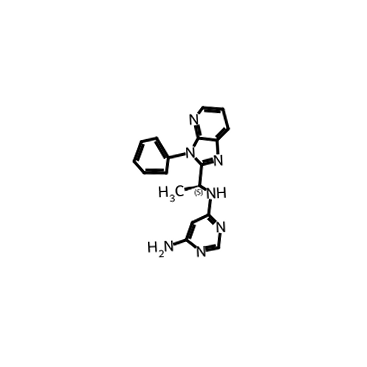 C[C@H](Nc1cc(N)ncn1)c1nc2cccnc2n1-c1ccccc1